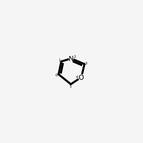 C1=CN=COC1